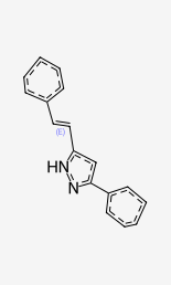 C(=C\c1cc(-c2ccccc2)n[nH]1)/c1ccccc1